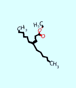 CCCCCCC(CCCCCC)CCC(=O)OCC